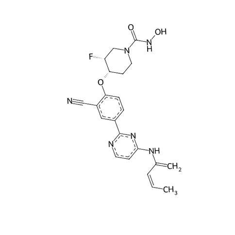 C=C(/C=C\C)Nc1ccnc(-c2ccc(O[C@H]3CCN(C(=O)NO)C[C@H]3F)c(C#N)c2)n1